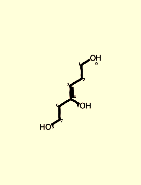 OCCC=C(O)CCO